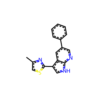 Cc1csc(-c2c[nH]c3ncc(-c4ccccc4)cc23)n1